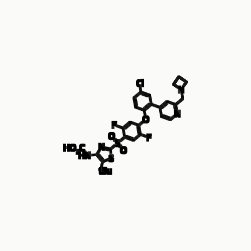 CC(C)(C)c1sc(S(=O)(=O)c2cc(F)c(Oc3ccc(Cl)cc3-c3ccnc(CN4CCC4)c3)cc2F)nc1NC(=O)O